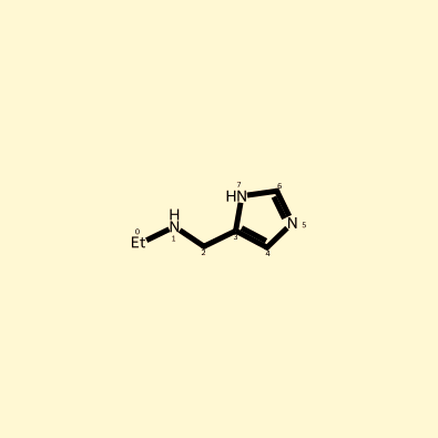 CCNCc1cnc[nH]1